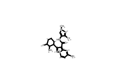 Cn1cc(NC(=O)c2c(C3CCCC(F)C3N)nn3ccc(N)nc23)c(C(F)(F)F)n1